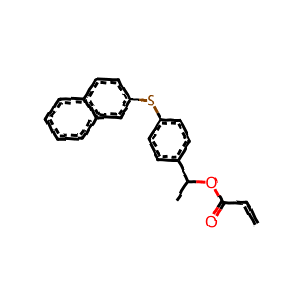 C=CC(=O)OC(C)c1ccc(Sc2ccc3ccccc3c2)cc1